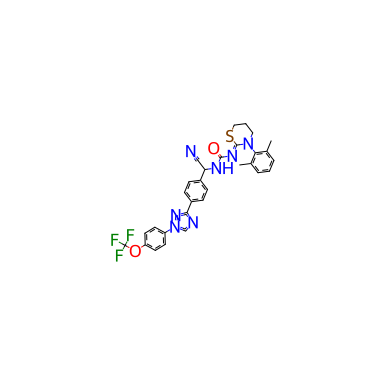 Cc1cccc(C)c1N1CCCS/C1=N\C(=O)NC(C#N)c1ccc(-c2ncn(-c3ccc(OC(F)(F)F)cc3)n2)cc1